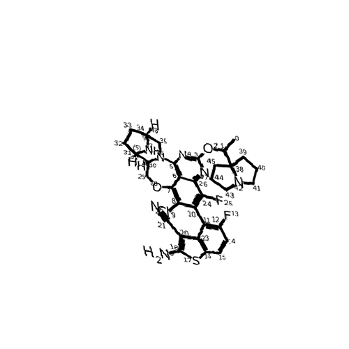 CC(Oc1nc2c3c(c(Cl)c(-c4c(F)ccc5sc(N)c(C#N)c45)c(F)c3n1)OC[C@@H]1[C@@H]3CC[C@H](CN21)N3)C12CCCN1CCC2